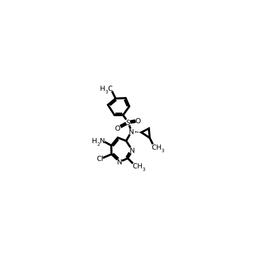 CC1=NC(N([C@@H]2CC2C)S(=O)(=O)c2ccc(C)cc2)C=C(N)C(Cl)=N1